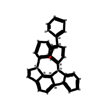 c1ccc(-n2ccc3ccc4c5ccccc5n(-c5ccc(-c6ccccn6)cc5)c4c32)cc1